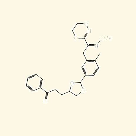 CON=C(Cc1cc(C2OCC(CCC(=O)c3ccccc3)O2)ccc1C)C1=NOCCO1